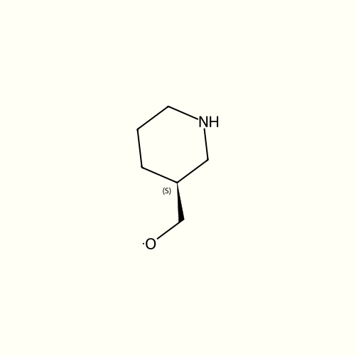 [O]C[C@H]1CCCNC1